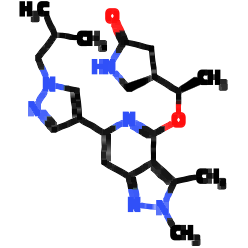 Cc1c2c(O[C@H](C)[C@H]3CNC(=O)C3)nc(-c3cnn(CC(C)C)c3)cc2nn1C